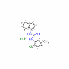 Cc1ccc(Cl)c(NC(=N)Nc2cccc3ccccc23)c1.Cl